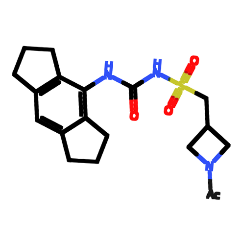 CC(=O)N1CC(CS(=O)(=O)NC(=O)Nc2c3c(cc4c2CCC4)CCC3)C1